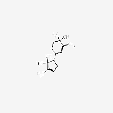 CC1=CC([C@H]2CC=C(C)C2(C)C)CCC1(C)O